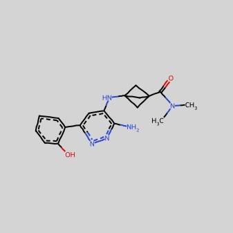 CN(C)C(=O)C12CC(Nc3cc(-c4ccccc4O)nnc3N)(C1)C2